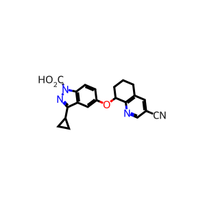 N#Cc1cnc2c(c1)CCCC2Oc1ccc2c(c1)c(C1CC1)nn2C(=O)O